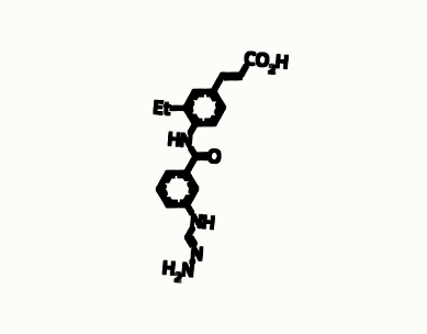 CCc1cc(C=CC(=O)O)ccc1NC(=O)c1cccc(NC=NN)c1